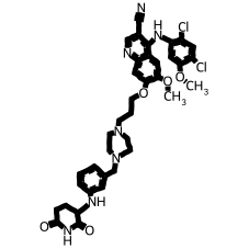 COc1cc(Nc2c(C#N)cnc3cc(OCCCN4CCN(Cc5cccc(NC6CCC(=O)NC6=O)c5)CC4)c(OC)cc23)c(Cl)cc1Cl